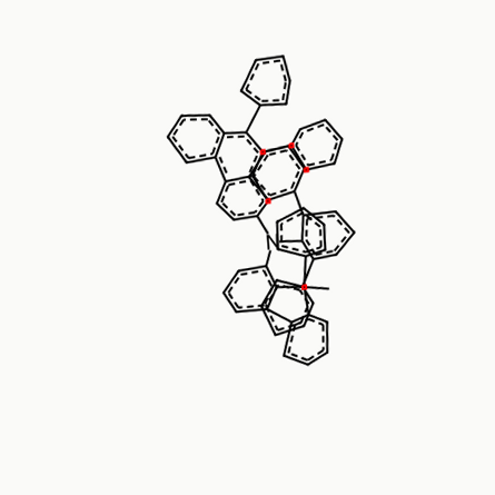 CC1(c2ccccc2)c2ccccc2-c2cccc(N(c3ccc4c(c3)c(-c3ccccc3)c(-c3ccccc3)c3ccccc34)c3c(-c4ccccc4)cccc3-c3ccccc3)c21